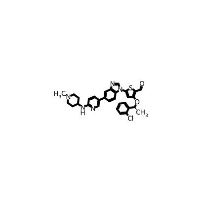 C[C@@H](Oc1cc(-n2cnc3cc(-c4ccc(NC5CCN(C)CC5)nc4)ccc32)sc1C=O)c1ccccc1Cl